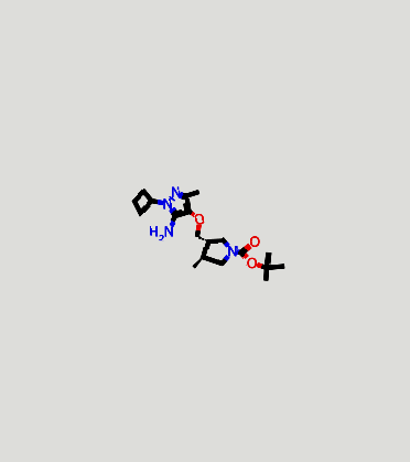 Cc1nn(C2CCC2)c(N)c1OC[C@@H]1CN(C(=O)OC(C)(C)C)C[C@H]1C